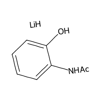 CC(=O)Nc1ccccc1O.[LiH]